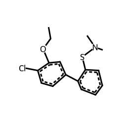 CCOc1cc(-c2ccccc2SN(C)C)ccc1Cl